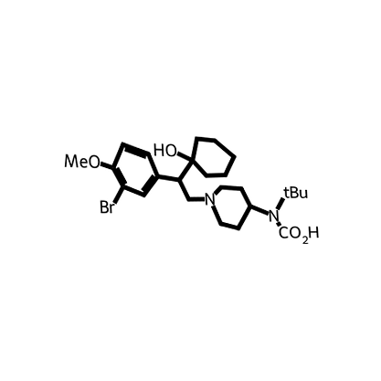 COc1ccc(C(CN2CCC(N(C(=O)O)C(C)(C)C)CC2)C2(O)CCCCC2)cc1Br